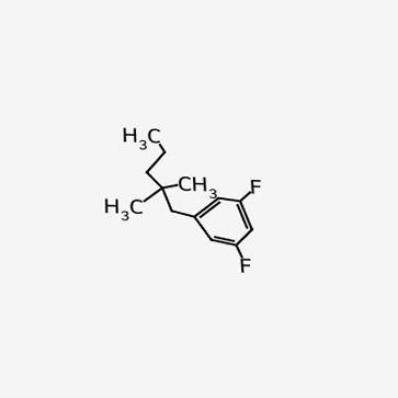 CCCC(C)(C)Cc1cc(F)cc(F)c1